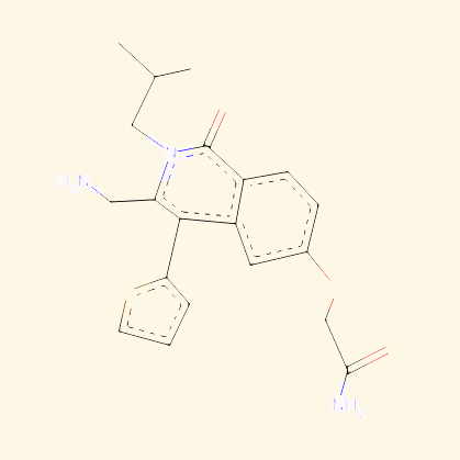 CC(C)Cn1c(CN)c(-c2cccs2)c2cc(OCC(N)=O)ccc2c1=O